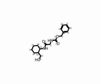 O=C(CNC(=O)OCc1ccccc1)NC1CC[CH]CC1CO